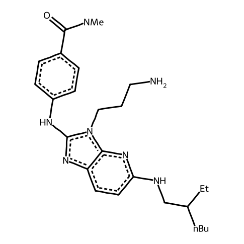 CCCCC(CC)CNc1ccc2nc(Nc3ccc(C(=O)NC)cc3)n(CCCN)c2n1